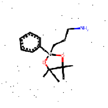 CC1(C)O[Si](CCCN)(c2ccccc2)OC1(C)C